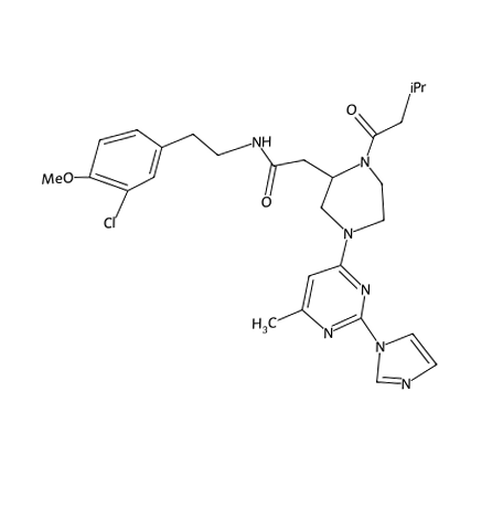 COc1ccc(CCNC(=O)CC2CN(c3cc(C)nc(-n4ccnc4)n3)CCN2C(=O)CC(C)C)cc1Cl